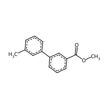 COC(=O)c1cccc(-c2[c]ccc(C)c2)c1